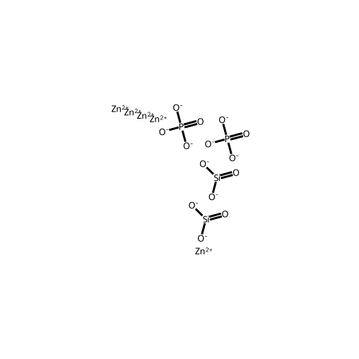 O=P([O-])([O-])[O-].O=P([O-])([O-])[O-].O=[Si]([O-])[O-].O=[Si]([O-])[O-].[Zn+2].[Zn+2].[Zn+2].[Zn+2].[Zn+2]